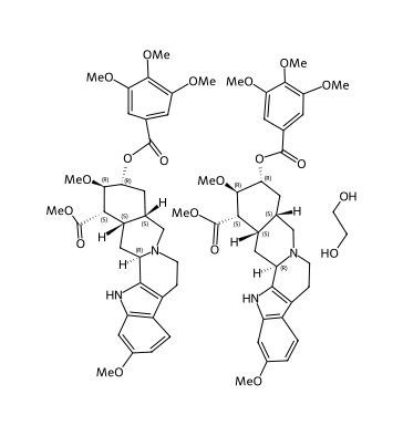 COC(=O)[C@H]1[C@H]2C[C@@H]3c4[nH]c5cc(OC)ccc5c4CCN3C[C@H]2C[C@@H](OC(=O)c2cc(OC)c(OC)c(OC)c2)[C@@H]1OC.COC(=O)[C@H]1[C@H]2C[C@@H]3c4[nH]c5cc(OC)ccc5c4CCN3C[C@H]2C[C@@H](OC(=O)c2cc(OC)c(OC)c(OC)c2)[C@@H]1OC.OCCO